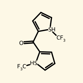 O=C(C1=CC=C[SH]1C(F)(F)F)C1=CC=C[SH]1C(F)(F)F